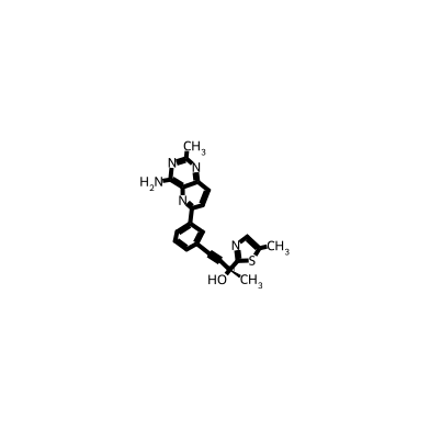 Cc1nc(N)c2nc(-c3cccc(C#C[C@@](C)(O)c4ncc(C)s4)c3)ccc2n1